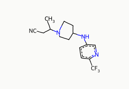 CC(CC#N)N1CCC(Nc2ccc(C(F)(F)F)nc2)CC1